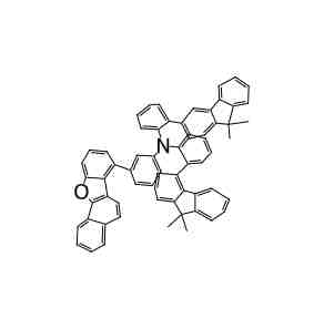 CC1(C)c2ccccc2-c2cc(-c3ccccc3N(c3cccc(-c4cccc5oc6c7ccccc7ccc6c45)c3)c3ccccc3-c3cccc4c3-c3ccccc3C4(C)C)ccc21